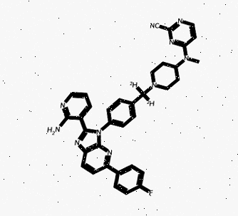 [2H]C([2H])(c1ccc(-n2c(-c3cccnc3N)nc3ccc(-c4ccc(F)cc4)nc32)cc1)N1CCC(N(C)c2ccnc(C#N)n2)CC1